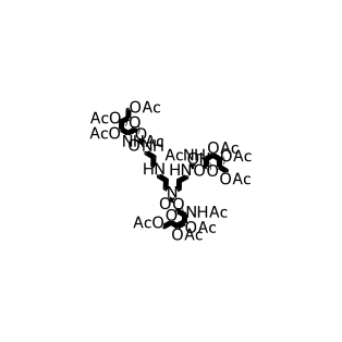 CC(=O)NC1C(OC(C)=O)=C(OC(C)=O)C(COC(C)=O)O[C@H]1OC(=O)N(CCCNCCCNC(=O)O[C@@H]1OC(COC(C)=O)[C@H](OC(C)=O)C(OC(C)=O)C1NC(C)=O)CCCNC(O)O[C@@H]1OC(COC(C)=O)[C@H](OC(C)=O)C(OC(C)=O)C1NC(C)=O